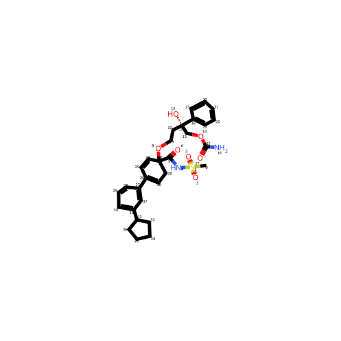 CS(=O)(=O)NC(=O)C1(OCC[C@](O)(COC(N)=O)c2ccccc2)C=CC(c2cccc(C3CCCC3)c2)=CC1